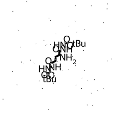 CC(C)(C)OC(=O)NNC(=O)CCC(N)C(=O)NNC(=O)OC(C)(C)C